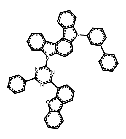 c1ccc(-c2cccc(-n3c4ccccc4c4c5c6ccccc6n(-c6nc(-c7ccccc7)nc(-c7cccc8c7oc7ccccc78)n6)c5ccc43)c2)cc1